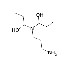 CCC(O)N(CCCN)C(O)CC